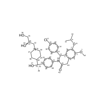 COc1cc2c(cc1OC(C)C)C(c1ccc(Cl)cc1)N(c1ccc([C@@](C)(O)C3CCN(C[C@@H](O)CO)CC3)cc1)C(=O)C2